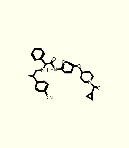 CC(CNC(C(=O)Nc1ccc(OC2CCN(C(=O)C3CC3)CC2)cn1)c1ccccc1)c1ccc(C#N)cc1